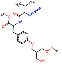 [3H]SOCC(CO)COc1ccc(CC(NC(=O)[C@@H](N=[N+]=[N-])C(C)C)C(=O)OC)cc1